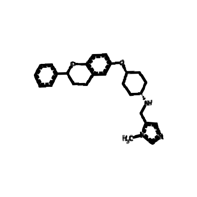 Cn1cncc1CN[C@H]1CC[C@H](Oc2ccc3c(c2)CCC(c2ccccc2)O3)CC1